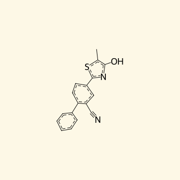 Cc1sc(-c2ccc(-c3ccccc3)c(C#N)c2)nc1O